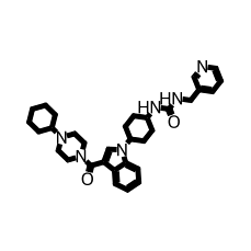 O=C(NCc1cccnc1)NC1CCC(n2cc(C(=O)N3CCN(C4CCCCC4)CC3)c3ccccc32)CC1